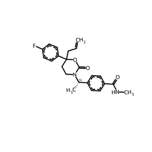 C=CCC1(c2ccc(F)cc2)CCN([C@@H](C)c2ccc(C(=O)NC)cc2)C(=O)O1